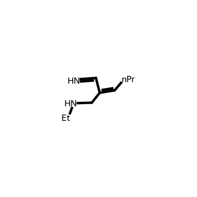 CCC/C=C(\C=N)CNCC